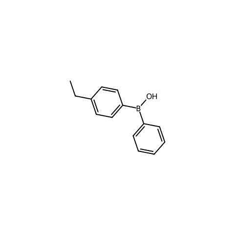 CCc1ccc(B(O)c2ccccc2)cc1